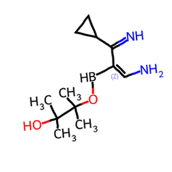 CC(C)(O)C(C)(C)OB/C(=C/N)C(=N)C1CC1